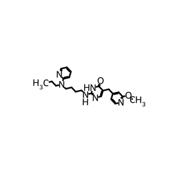 CCCN(CCCCNc1ncc(Cc2ccnc(OC)c2)c(=O)[nH]1)c1ccccn1